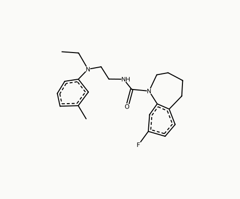 CCN(CCNC(=O)N1CCCCc2ccc(F)cc21)c1cccc(C)c1